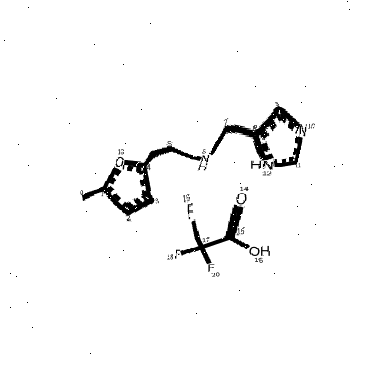 Cc1ccc(CNCc2cnc[nH]2)o1.O=C(O)C(F)(F)F